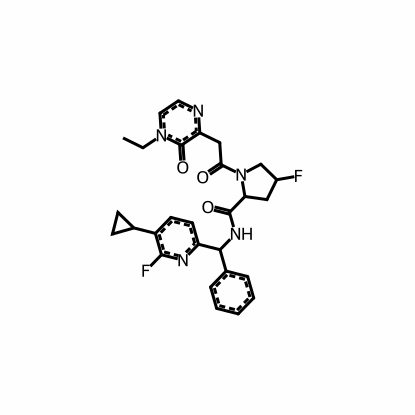 CCn1ccnc(CC(=O)N2CC(F)CC2C(=O)NC(c2ccccc2)c2ccc(C3CC3)c(F)n2)c1=O